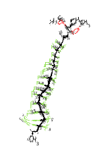 CCCC(F)(F)C(F)(F)C(F)(F)C(F)(F)C(F)(F)C(F)(F)C(F)(F)C(F)(F)C(F)(F)C(F)(F)C(F)(F)C(F)(F)C(F)(F)C(F)(F)CC[Si](C)(OC)OC